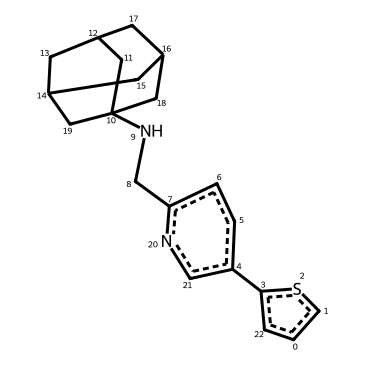 c1csc(-c2ccc(CNC34CC5CC(CC(C5)C3)C4)nc2)c1